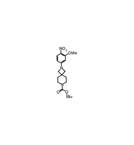 COc1cc(N2CC3(CCN(C(=O)OC(C)(C)C)CC3)C2)ccc1[N+](=O)[O-]